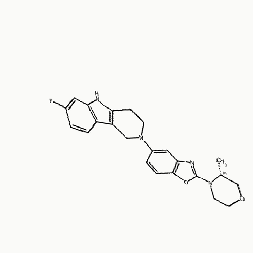 C[C@@H]1COCCN1c1nc2cc(N3CCc4[nH]c5cc(F)ccc5c4C3)ccc2o1